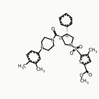 COC(=O)c1cc(C)c(S(=O)(=O)N2C[C@@H](C(=O)N3CCN(c4ccc(C)c(C)c4)CC3)[C@H](c3ccccc3)C2)s1